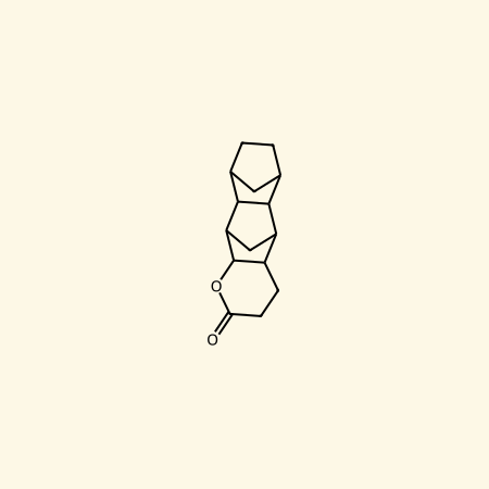 O=C1CCC2C3CC(C2O1)C1C2CCC(C2)C31